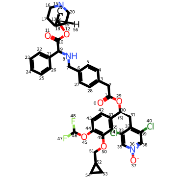 O=C(Cc1ccc(CNC(C(=O)O[C@H]2CN3CCC2CC3)c2ccccc2)cc1)O[C@@H](Cc1c(Cl)c[n+]([O-])cc1Cl)c1ccc(OC(F)F)c(OCC2CC2)c1